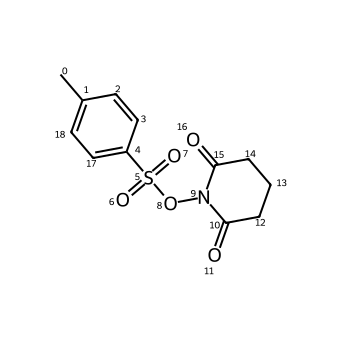 Cc1ccc(S(=O)(=O)ON2C(=O)CCCC2=O)cc1